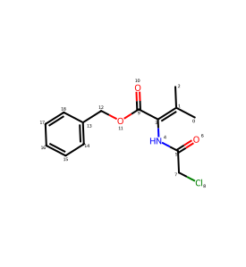 CC(C)=C(NC(=O)CCl)C(=O)OCc1ccccc1